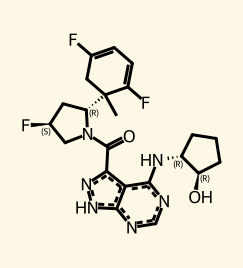 CC1([C@H]2C[C@H](F)CN2C(=O)c2n[nH]c3ncnc(N[C@@H]4CCC[C@H]4O)c23)CC(F)=CC=C1F